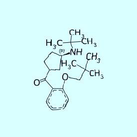 CC(C)(C)COc1ccccc1C(=O)C1CC[C@@H](NC(C)(C)C)C1